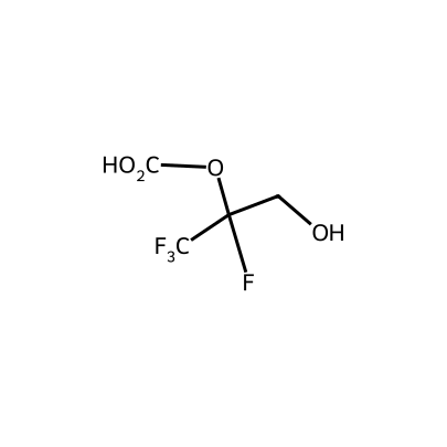 O=C(O)OC(F)(CO)C(F)(F)F